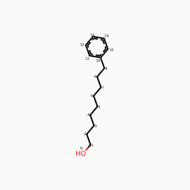 O[CH]CCCCCCCCc1ccccc1